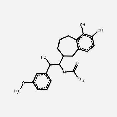 COc1cccc(C(O)C(NC(C)=O)C2CCCc3c(ccc(O)c3O)C2)c1